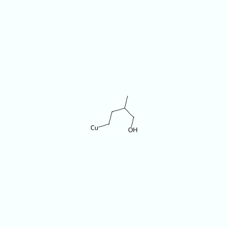 CC(CO)C[CH2][Cu]